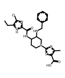 CCc1[nH]c(C(=O)NC2CCN(c3nc(C)c(C(=O)O)s3)CC2NCc2ccccc2)nc1Cl